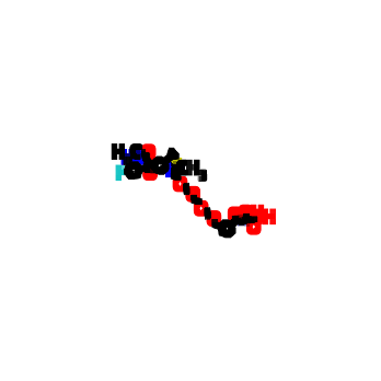 CNC(=O)c1c(-c2ccc(F)cc2)oc2cc(N(CCOCCOCCOCCOCc3cccc(C(=O)/C=C(\O)C(=O)O)c3)SC)c(C3CC3)cc12